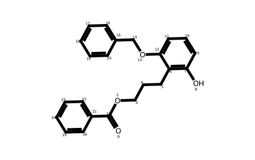 O=C(OCCCc1c(O)cccc1OCc1ccccc1)c1ccccc1